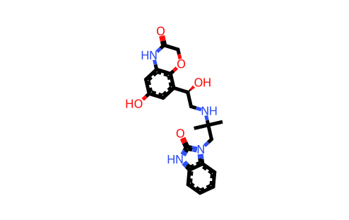 CC(C)(Cn1c(=O)[nH]c2ccccc21)NC[C@H](O)c1cc(O)cc2c1OCC(=O)N2